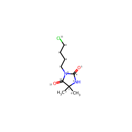 CC1(C)NC(=O)N(CCCCCl)C1=O